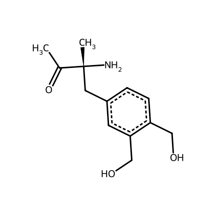 CC(=O)[C@](C)(N)Cc1ccc(CO)c(CO)c1